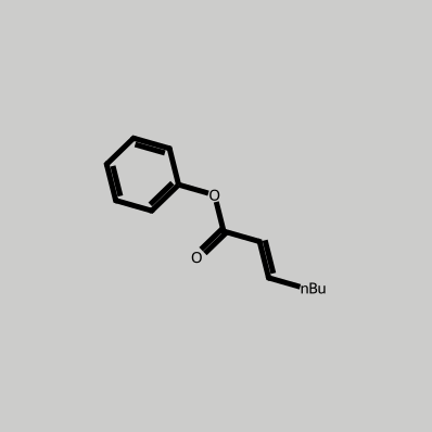 CCCCC=CC(=O)Oc1ccccc1